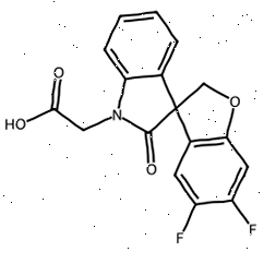 O=C(O)CN1C(=O)C2(COc3cc(F)c(F)cc32)c2ccccc21